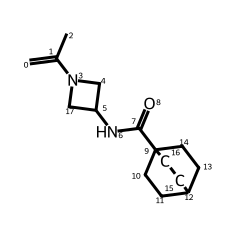 C=C(C)N1CC(NC(=O)C23CCC(CC2)CC3)C1